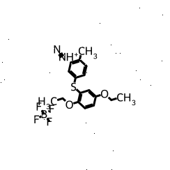 CCOc1ccc(OCC)c(Sc2ccc(C)cc2)c1.F[B-](F)(F)F.N#[NH+]